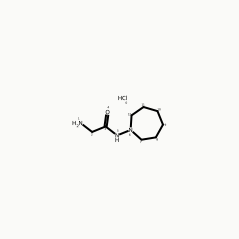 Cl.NCC(=O)NN1CCCCCC1